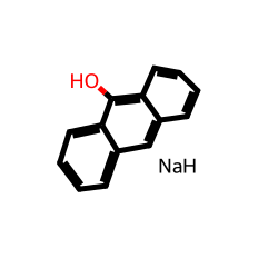 Oc1c2ccccc2cc2ccccc12.[NaH]